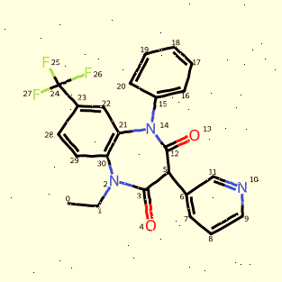 CCN1C(=O)C(c2cccnc2)C(=O)N(c2ccccc2)c2cc(C(F)(F)F)ccc21